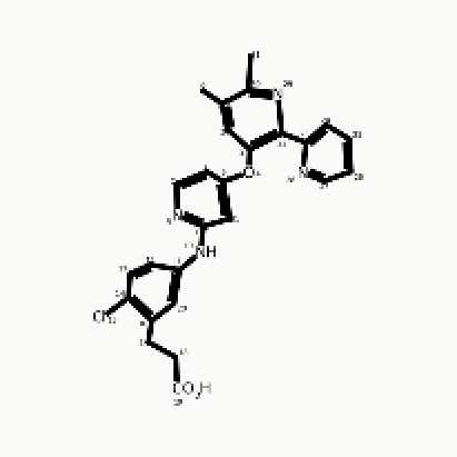 Cc1cc(Oc2ccnc(Nc3ccc(Cl)c(CCC(=O)O)c3)c2)c(-c2ccccn2)nc1C